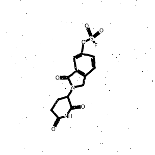 O=C1CCC(N2Cc3ccc(OS(=O)(=O)F)cc3C2=O)C(=O)N1